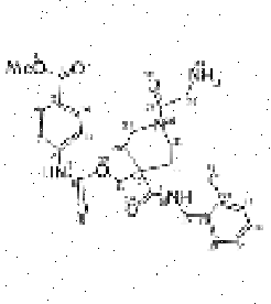 COC(=O)c1ccc(NC(=O)OCC2(C(=O)NCc3ccccc3Cl)CCN(C(=O)CN)CC2)cc1